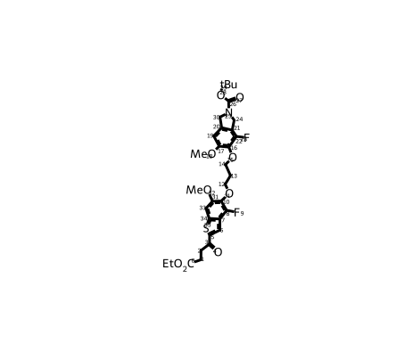 CCOC(=O)CCC(=O)c1cc2c(F)c(OCCCOc3c(OC)cc4c(c3F)CN(C(=O)OC(C)(C)C)C4)c(OC)cc2s1